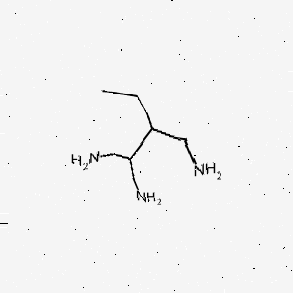 CCC(CN)C(N)N